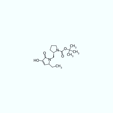 CCC1C=C(O)C(=O)N1C[C@H]1CCCN1C(=O)OC(C)(C)C